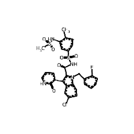 Cc1ccc(S(=O)(=O)NC(=O)c2c(-c3ccc[nH]c3=O)c3cc(Cl)ccc3n2Cc2ccccc2F)cc1NS(C)(=O)=O